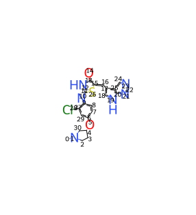 CN1CCC(Oc2ccc(/N=C3/NC(=O)/C(=C/c4c[nH]c5ncncc45)S3)c(Cl)c2)C1